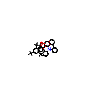 CC(C)(C)c1cc(C(C)(C)C)c2c(c1)C(C)(C)c1cccc(-c3ccccc3N(c3ccccc3-c3ccccc3)c3cccc4oc5ccccc5c34)c1-2